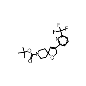 CC(C)(C)OC(=O)N1CCC2(C=C(c3cccc(C(F)(F)F)n3)CO2)CC1